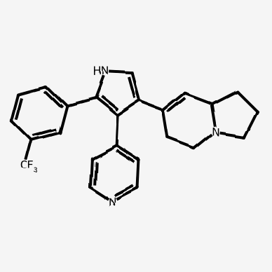 FC(F)(F)c1cccc(-c2[nH]cc(C3=CC4CCCN4CC3)c2-c2ccncc2)c1